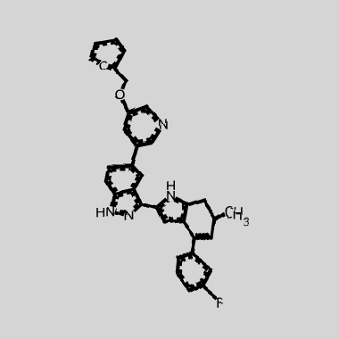 CC1C=C(c2cccc(F)c2)c2cc(-c3n[nH]c4ccc(-c5cncc(OCc6ccccc6)c5)cc34)[nH]c2C1